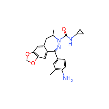 Cc1cc(C2=NN(C(=O)NC3CC3)C(C)Cc3cc4c(cc32)OCO4)ccc1N